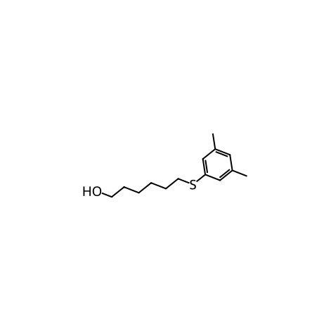 Cc1cc(C)cc(SCCCCCCO)c1